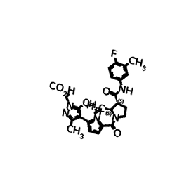 Cc1cc(NC(=O)[C@H]2CCN(C(=O)c3ccc(-c4c(C)nn(CC(=O)O)c4C)[nH]3)[C@H]2C)ccc1F